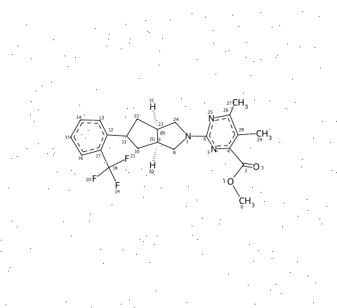 COC(=O)c1nc(N2C[C@H]3CC(c4ccccc4C(F)(F)F)C[C@H]3C2)nc(C)c1C